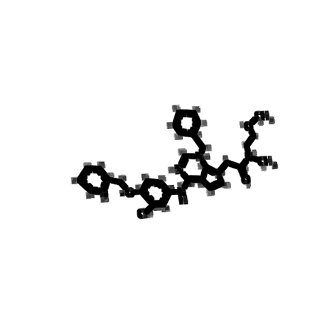 COCCN(C)C(=O)CS1=C2C(=C(Nc3ccc(OCc4ccccn4)c(Cl)c3)N=CN2Cc2ccccc2)C=C1